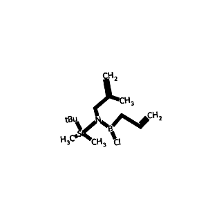 C=CCB(Cl)N(CC(=C)C)[Si](C)(C)C(C)(C)C